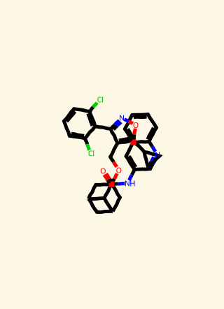 O=C(Nc1cnc2ccccc2c1)C1C2CC(OCc3c(-c4c(Cl)cccc4Cl)noc3C3CC3)CC1C2